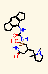 CN1CCCC1(C)CC1CC(=O)NS(O)(NC(=O)Nc2c3c(cc4c2CCC4)CCC3)C1